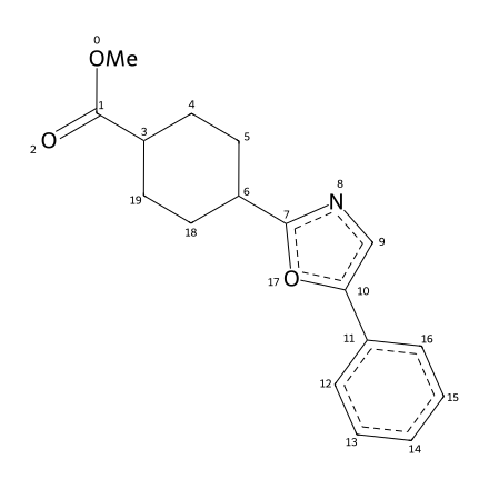 COC(=O)C1CCC(c2ncc(-c3ccccc3)o2)CC1